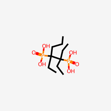 CCCC(CC)(C(CC)(CC)P(=O)(O)O)P(=O)(O)O